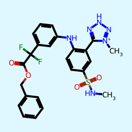 CNS(=O)(=O)c1ccc(Nc2cccc(C(F)(F)C(=O)OCc3ccccc3)c2)c(-c2n[nH]n[n+]2C)c1